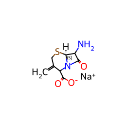 C=C1CS[C@H]2C(N)C(=O)N2C1C(=O)[O-].[Na+]